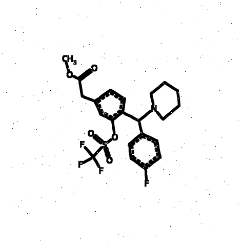 COC(=O)Cc1ccc(C(c2ccc(F)cc2)N2CCCCC2)c(OS(=O)(=O)C(F)(F)F)c1